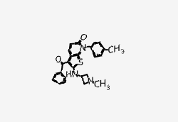 Cc1ccc(-n2c(=O)ccc3c(C(=O)c4ccccc4)c(NC4CN(C)C4)sc32)cc1